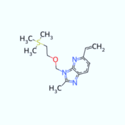 C=Cc1ccc2nc(C)n(COCCS(C)(C)C)c2n1